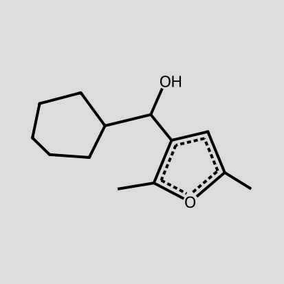 Cc1cc(C(O)C2CCCCC2)c(C)o1